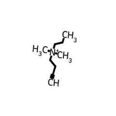 C#CCC[N+](C)(C)CCC